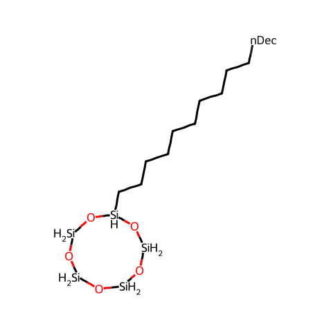 CCCCCCCCCCCCCCCCCCCC[SiH]1O[SiH2]O[SiH2]O[SiH2]O[SiH2]O1